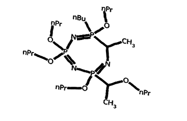 CCCCP1(OCCC)=NP(OCCC)(OCCC)=NP(OCCC)(C(C)OCCC)=NC1C